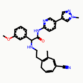 COc1cccc(C(NCCC2=C(C)C=C(C#N)C=CC2)C(=O)Nc2ccc(-c3cnn(C)c3)cn2)c1